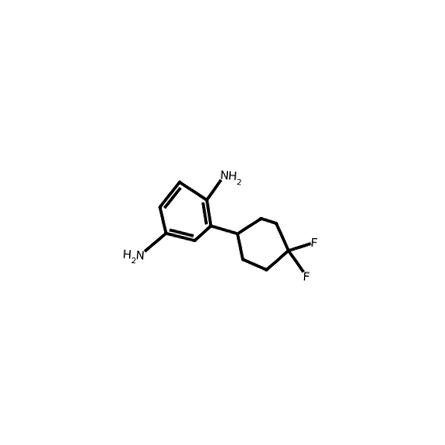 Nc1ccc(N)c(C2CCC(F)(F)CC2)c1